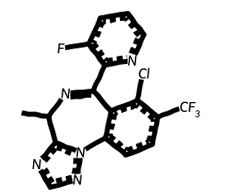 CC1N=C(c2ncccc2F)c2c(ccc(C(F)(F)F)c2Cl)-n2ncnc21